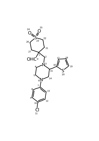 O=CC1(CN2CCN(c3ccc(Cl)cc3)CC2c2cccs2)CCS(=O)(=O)CC1